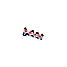 CCN(CCCN(CCCN(CCC1CCCCN1C(=O)OC(C)(C)C)C(=O)OC(C)(C)C)C(=O)OC(C)(C)C)C(=O)OC(C)(C)C